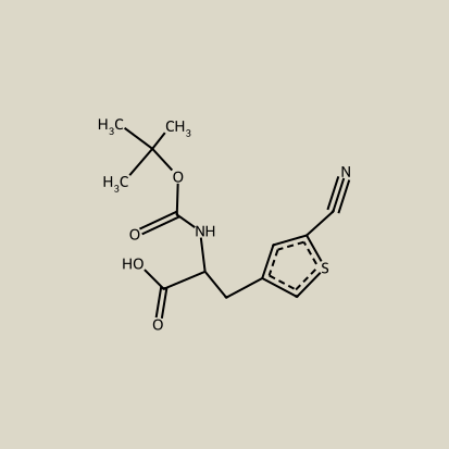 CC(C)(C)OC(=O)NC(Cc1csc(C#N)c1)C(=O)O